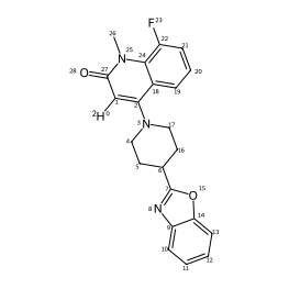 [2H]c1c(N2CCC(c3nc4ccccc4o3)CC2)c2cccc(F)c2n(C)c1=O